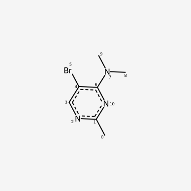 Cc1ncc(Br)c(N(C)C)n1